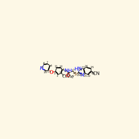 COc1cc(Oc2cccnc2)ccc1NC(=O)CSc1nc2cc(C#N)ccc2[nH]1